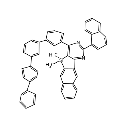 C[Si]1(C)c2cc3ccccc3cc2-c2nc(-c3cccc4ccccc34)nc(-c3cccc(-c4cccc(-c5ccc(-c6ccccc6)cc5)c4)c3)c21